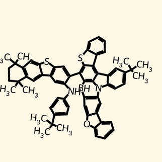 CC(C)(C)c1ccc(Nc2cc3c(cc2-c2c4c5c(c6cc(C(C)(C)C)ccc6n5-c5cc6c(cc5B4)oc4ccccc46)c4c2sc2ccccc24)sc2cc4c(cc23)C(C)(C)CCC4(C)C)cc1